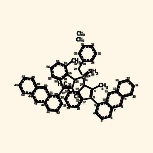 CC1=C(c2cccc3cc4ccccc4cc23)c2cccc(C)c2[CH]1[Zr+2](=[SiH2])([CH2]c1ccccc1)[CH]1C(C)=C(c2cccc3cc4ccccc4cc23)c2cccc(C)c21.[Cl-].[Cl-]